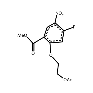 COC(=O)c1cc([N+](=O)[O-])c(F)cc1OCCOC(C)=O